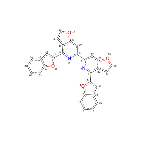 c1ccc2oc(-c3nc(-c4cc5occc5c(-c5cc6ccccc6o5)n4)cc4occc34)cc2c1